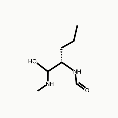 CCC[C@H](NC=O)C(O)NC